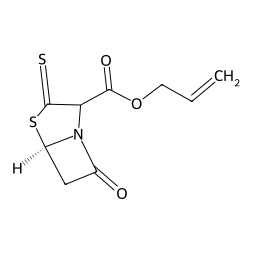 C=CCOC(=O)C1C(=S)S[C@@H]2CC(=O)N12